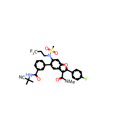 CNC(=O)c1c(-c2ccc(F)cc2)oc2cc(N(CCC(F)(F)F)S(C)(=O)=O)c(-c3cccc(C(=O)NC(C)(C)C#N)c3)cc12